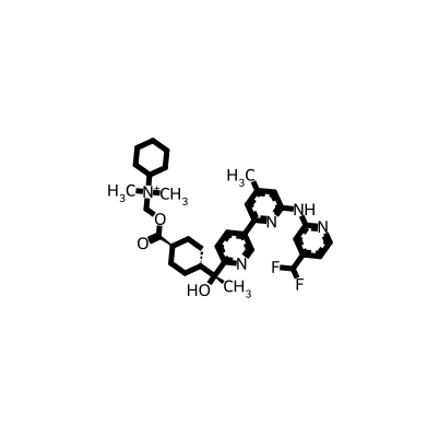 Cc1cc(Nc2cc(C(F)F)ccn2)nc(-c2ccc([C@](C)(O)[C@H]3CC[C@H](C(=O)OC[N+](C)(C)C4CCCCC4)CC3)nc2)c1